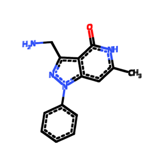 Cc1cc2c(c(CN)nn2-c2ccccc2)c(=O)[nH]1